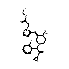 CCOC(=O)Cn1nccc1/C=C1\CN(C(C(=O)C2CC2)c2ccccc2F)CCC1S.Cl